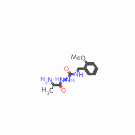 COc1ccccc1CNC(=O)NNC(=O)[C@H](C)N